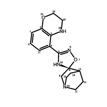 c1cc2c(c(C3=NO[C@]4(CN5CCC4CC5)N3)c1)NCCO2